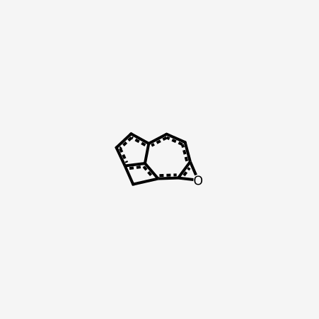 c1cc2c3c(c4c(ccc1-3)O4)C2